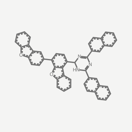 c1ccc2cc(C3=NC(c4ccc(-c5ccc6oc7ccccc7c6c5)c5oc6ccccc6c45)NC(c4ccc5ccccc5c4)=N3)ccc2c1